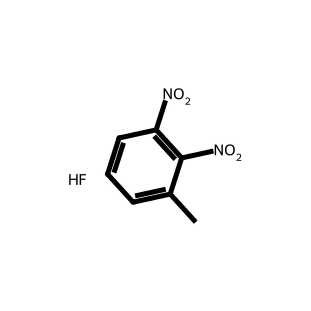 Cc1cccc([N+](=O)[O-])c1[N+](=O)[O-].F